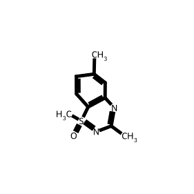 CC1=Nc2cc(C)ccc2S(C)(=O)=N1